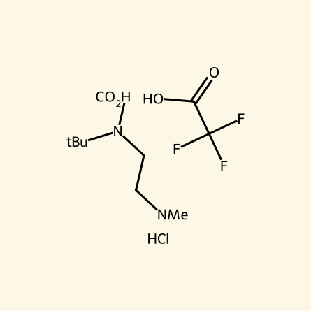 CNCCN(C(=O)O)C(C)(C)C.Cl.O=C(O)C(F)(F)F